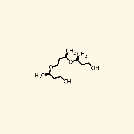 C=C(CCC)OCCC(=C)OC(=C)CCO